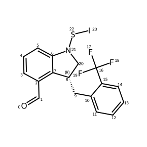 O=Cc1cccc2c1[C@@H](Cc1ccccc1C(F)(F)F)CN2SI